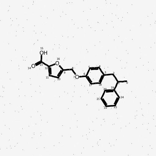 CC(Cc1ccc(OCc2ccc(C(=O)O)o2)cc1)c1ccccc1